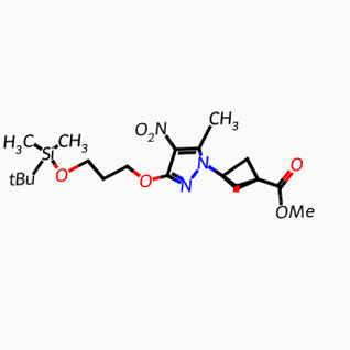 COC(=O)C12CC(n3nc(OCCCO[Si](C)(C)C(C)(C)C)c([N+](=O)[O-])c3C)(C1)C2